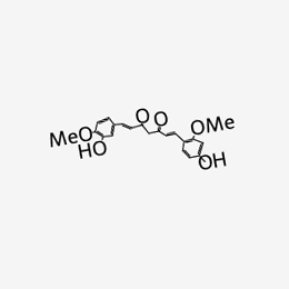 COc1ccc(C=CC(=O)CC(=O)C=Cc2ccc(O)cc2OC)cc1O